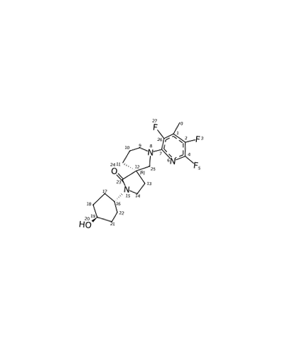 Cc1c(F)c(F)nc(N2CCC[C@@]3(CCN([C@H]4CC[C@H](O)CC4)C3=O)C2)c1F